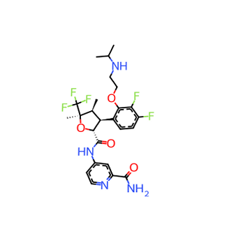 CC(C)NCCOc1c([C@H]2[C@H](C(=O)Nc3ccnc(C(N)=O)c3)O[C@@](C)(C(F)(F)F)[C@H]2C)ccc(F)c1F